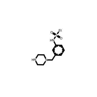 CCS(=O)(=O)Nc1cccc(CN2CCNCC2)c1